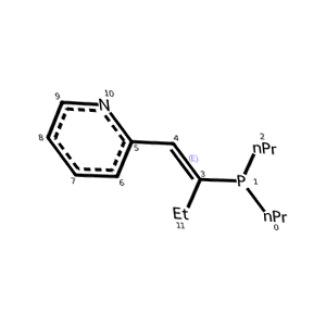 CCCP(CCC)/C(=C/c1ccccn1)CC